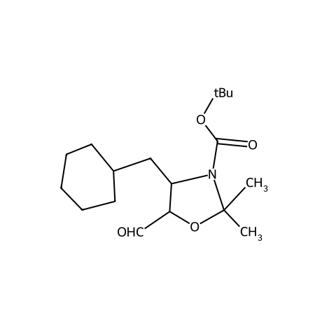 CC(C)(C)OC(=O)N1C(CC2CCCCC2)C(C=O)OC1(C)C